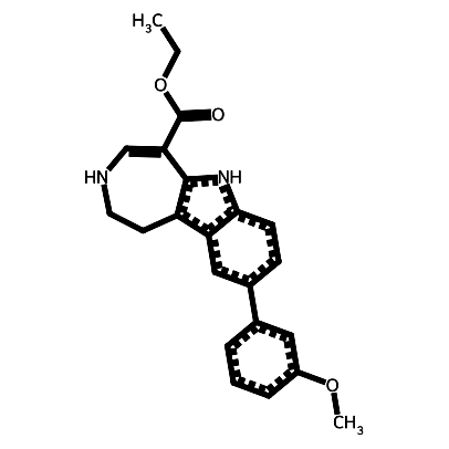 CCOC(=O)C1=CNCCc2c1[nH]c1ccc(-c3cccc(OC)c3)cc21